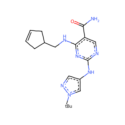 CC(C)(C)n1cc(Nc2ncc(C(N)=O)c(NCC3CC=CC3)n2)cn1